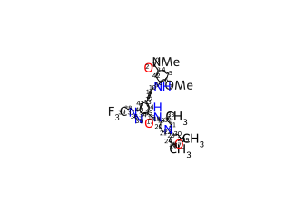 CNC(=O)c1ccc(OC)c(NCC#Cc2cc(C(=O)N[C@H]3CCN(C4CC(C)OC(C)C4)C[C@@H]3C)c3ncn(CC(F)(F)F)c3c2)c1